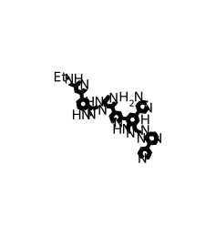 CCNCc1cncc(-c2ccc3[nH]nc(-c4nc5c(-c6ccnc(-c7cc(-c8cncc(N)c8)cc8c(-c9nc%10c(-c%11ccncc%11)cncc%10[nH]9)n[nH]c78)c6)cncc5[nH]4)c3c2)c1